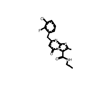 CCNC(=O)c1c(C)sc2nc(Cc3cccc(Cl)c3F)cc(=O)n12